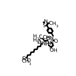 COC(=O)CCCCCCCCC(=O)N[C@H](C(=O)N1C[C@H](O)C[C@H]1C(=O)NCc1ccc(-c2scnc2C)cc1)C(C)(C)C